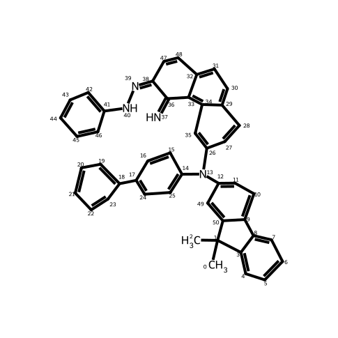 CC1(C)c2ccccc2-c2ccc(N(c3ccc(-c4ccccc4)cc3)c3ccc4ccc5c(c4c3)C(=N)/C(=N\Nc3ccccc3)C=C5)cc21